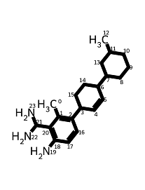 Cc1c(C2C=CC(C3CCCC(C)C3)CC2)ccc(N)c1C(N)N